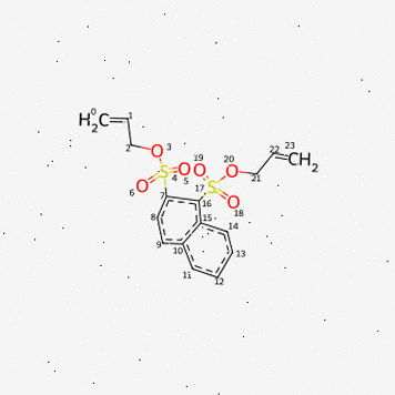 C=CCOS(=O)(=O)c1ccc2ccccc2c1S(=O)(=O)OCC=C